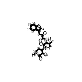 CC(C)C(NC(=O)C(=O)Cc1csc2ccccc12)C(=O)NC1CCNC(=O)C1=O